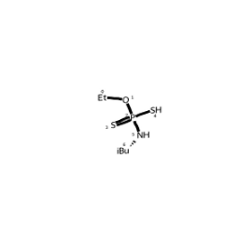 CCOP(=S)(S)N[C@@H](C)CC